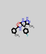 Cc1cccc(C(=O)N[C@H]2C(=O)Nc3[nH]nc(C)c3[C@@H]2c2ccc(F)cc2)c1